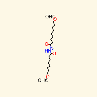 O=COCCCCCCCCC(=O)[N]NC(=O)CCCCCCCOC=O